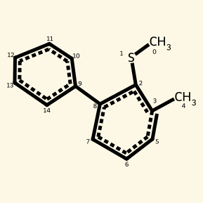 CSc1c(C)cccc1-c1ccccc1